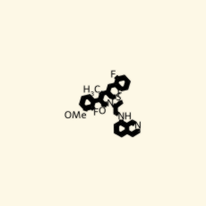 COc1cccc(-c2c(C)c(Cc3c(F)cccc3F)c3n(c2=O)C(CNc2cccc4ccncc24)CS3)c1F